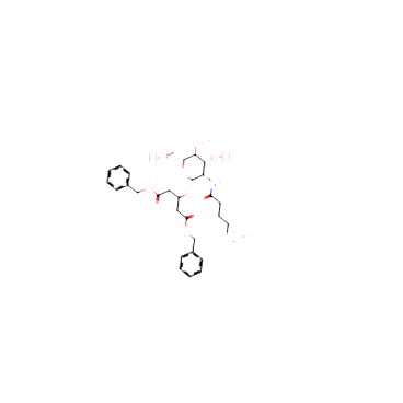 CCCCCCCCCCCCCC(=O)N[C@H]1[C@H](OC(CC(=O)OCc2ccccc2)CC(=O)OCc2ccccc2)O[C@H](CO)[C@@H](O)[C@@H]1O